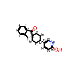 O=C1c2ccccc2C[C@]12CC[C@H](c1ccc(O)nc1)CC2